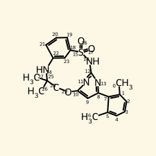 Cc1cccc(C)c1-c1cc2nc(n1)NS(=O)(=O)c1cccc(c1)NC(C)(C)CO2